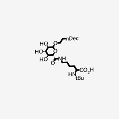 CCCCCCCCCCCCOC1O[C@H](C(=O)NCCCCC(NC(C)(C)C)C(=O)O)[C@@H](O)[C@H](O)[C@H]1O